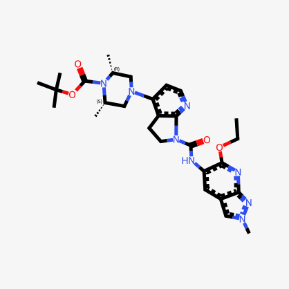 CCOc1nc2nn(C)cc2cc1NC(=O)N1CCc2c(N3C[C@@H](C)N(C(=O)OC(C)(C)C)[C@@H](C)C3)ccnc21